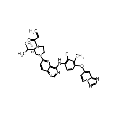 C=CC(=O)N1CCN(c2ccc3ncnc(Nc4ccc(Oc5ccn6ncnc6c5)c(C)c4F)c3n2)C[C@H]1C(C)C